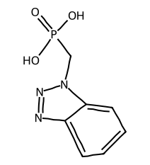 O=P(O)(O)Cn1nnc2ccccc21